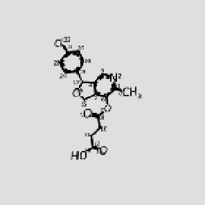 Cc1ncc2c(c1OC(=O)CCC(=O)O)CO[C@H]2c1ccc(Cl)cc1